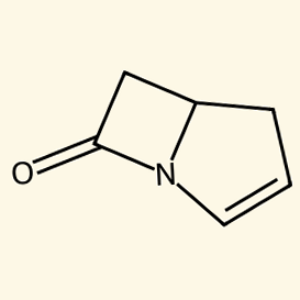 O=C1CC2CC=CN12